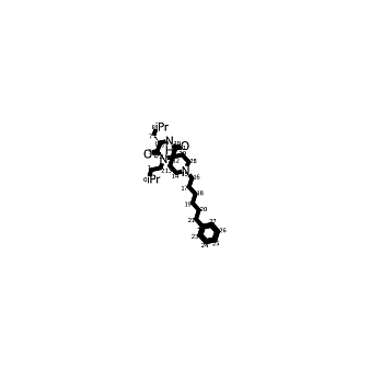 CC(C)CCN1C(=O)[C@H](CC(C)C)NC(=O)C12CCN(CCCCCCc1ccccc1)CC2